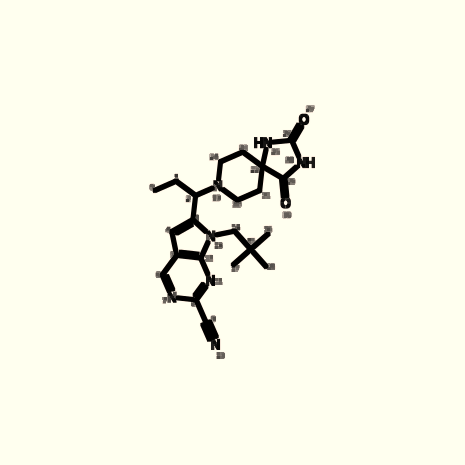 CCC(c1cc2cnc(C#N)nc2n1CC(C)(C)C)N1CCC2(CC1)NC(=O)NC2=O